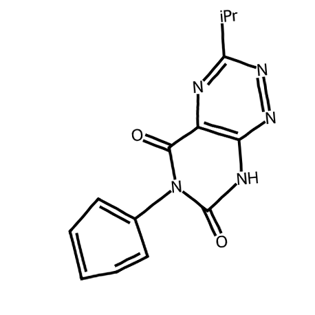 CC(C)c1nnc2[nH]c(=O)n(-c3ccccc3)c(=O)c2n1